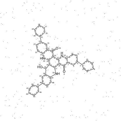 O=c1c2cc(-c3ccccc3)ccc2[nH]c2c1c1c(c3[nH]c4ccc(-c5ccccc5)cc4c(=O)c32)C(O)c2cc(-c3ccccc3)ccc2N1